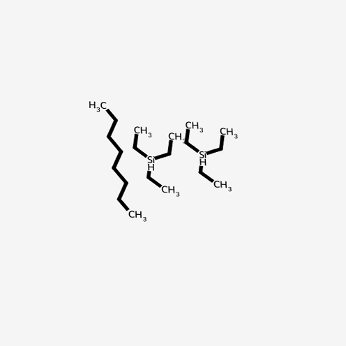 CCCCCCCC.CC[SiH](CC)CC.CC[SiH](CC)CC